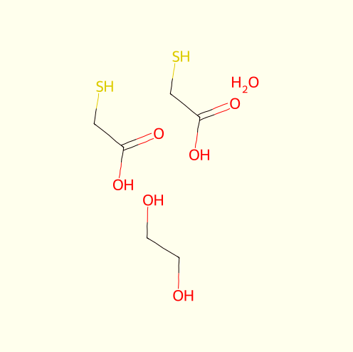 O.O=C(O)CS.O=C(O)CS.OCCO